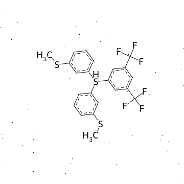 CSc1cccc([SH](c2cccc(SC)c2)c2cc(C(F)(F)F)cc(C(F)(F)F)c2)c1